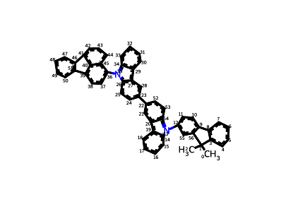 CC1(C)c2ccccc2-c2ccc(-n3c4ccccc4c4cc(-c5ccc6c(c5)c5ccccc5n6-c5ccc6c7c(cccc57)-c5ccccc5-6)ccc43)cc21